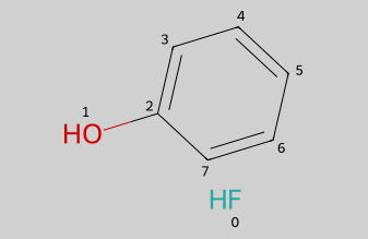 F.Oc1ccccc1